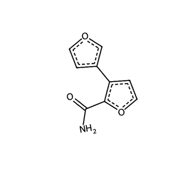 NC(=O)c1occc1-c1ccoc1